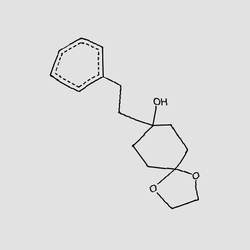 OC1(CCc2ccccc2)CCC2(CC1)OCCO2